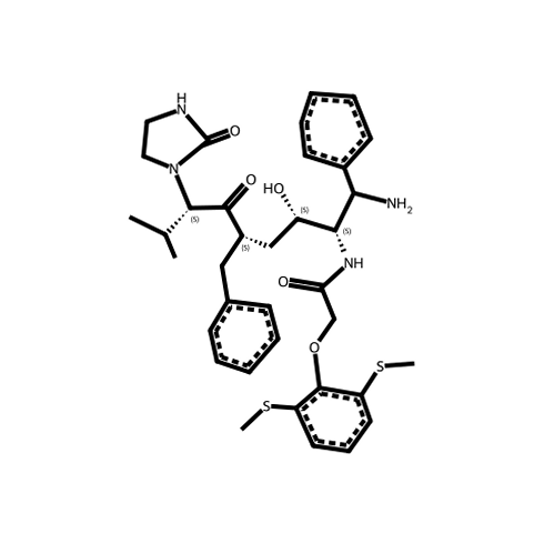 CSc1cccc(SC)c1OCC(=O)N[C@@H](C(N)c1ccccc1)[C@@H](O)C[C@H](Cc1ccccc1)C(=O)[C@H](C(C)C)N1CCNC1=O